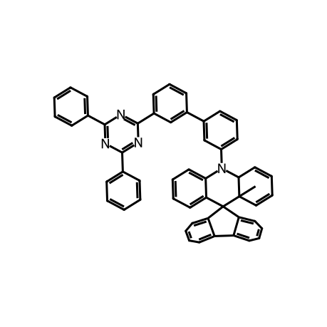 CC12C=CC=CC1N(c1cccc(-c3cccc(-c4nc(-c5ccccc5)nc(-c5ccccc5)n4)c3)c1)c1ccccc1C21c2ccccc2-c2ccccc21